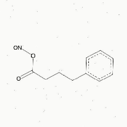 O=NOC(=O)CCCc1ccccc1